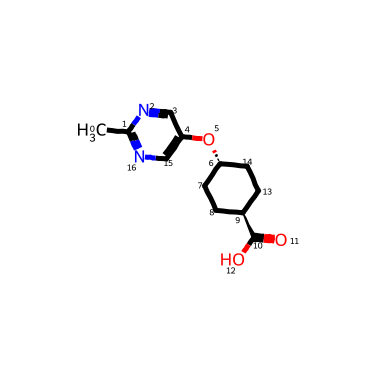 Cc1ncc(O[C@H]2CC[C@H](C(=O)O)CC2)cn1